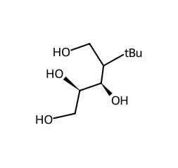 CC(C)(C)C(CO)[C@@H](O)[C@H](O)CO